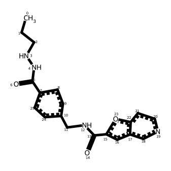 CCCNNC(=O)c1ccc(CNC(=O)c2cc3cnccc3o2)cc1